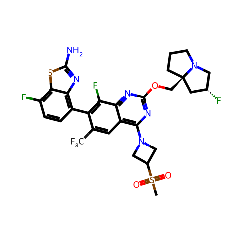 CS(=O)(=O)C1CN(c2nc(OC[C@@]34CCCN3C[C@H](F)C4)nc3c(F)c(-c4ccc(F)c5sc(N)nc45)c(C(F)(F)F)cc23)C1